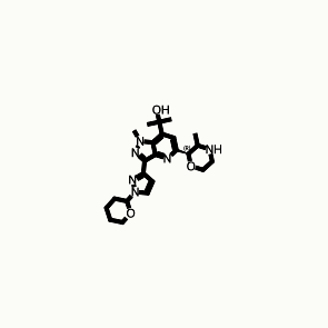 CC1NCCO[C@H]1c1cc(C(C)(C)O)c2c(n1)c(-c1ccn(C3CCCCO3)n1)nn2C